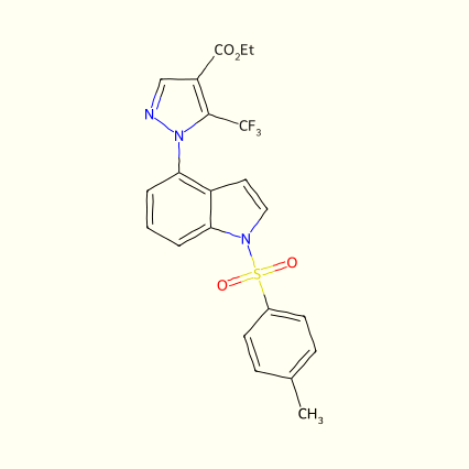 CCOC(=O)c1cnn(-c2cccc3c2ccn3S(=O)(=O)c2ccc(C)cc2)c1C(F)(F)F